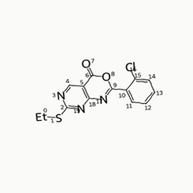 CCSc1ncc2c(=O)oc(-c3ccccc3Cl)nc2n1